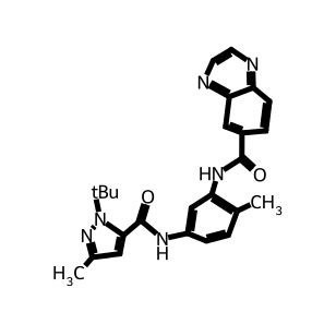 Cc1cc(C(=O)Nc2ccc(C)c(NC(=O)c3ccc4nccnc4c3)c2)n(C(C)(C)C)n1